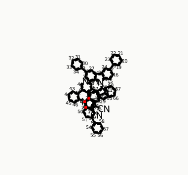 N#Cc1ccc(-c2c(-c3ccccc3-n3c4ccc(-c5ccccc5)cc4c4cc(-c5ccccc5)ccc43)cncc2-c2ccccc2-n2c3ccc(-c4ccccc4)cc3c3cc(-c4ccccc4)ccc32)cc1C#N